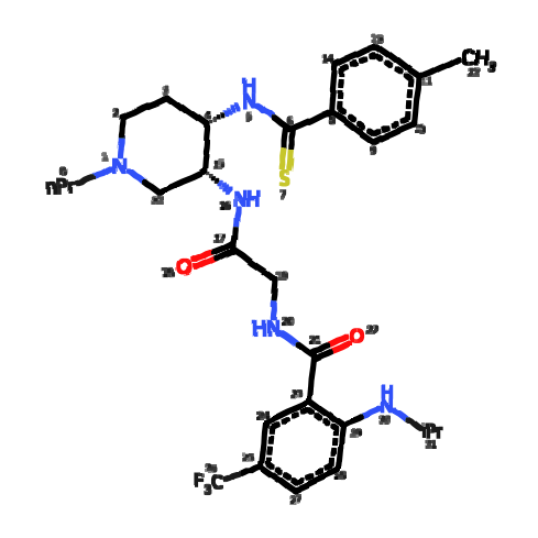 CCCN1CC[C@H](NC(=S)c2ccc(C)cc2)[C@H](NC(=O)CNC(=O)c2cc(C(F)(F)F)ccc2NC(C)C)C1